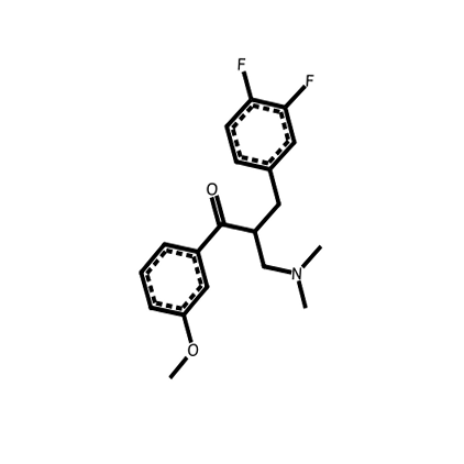 COc1cccc(C(=O)C(Cc2ccc(F)c(F)c2)CN(C)C)c1